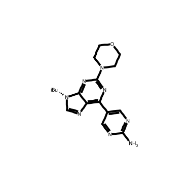 CC[C@@H](C)n1cnc2c(-c3cnc(N)nc3)nc(N3CCOCC3)nc21